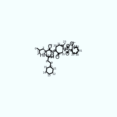 CC(C)C[C@H](NC(=O)CCC1CCCCC1)C(=O)N[C@H]1CC[C@@H](C)N(S(=O)(=O)c2cccc[n+]2[O-])CC1=O